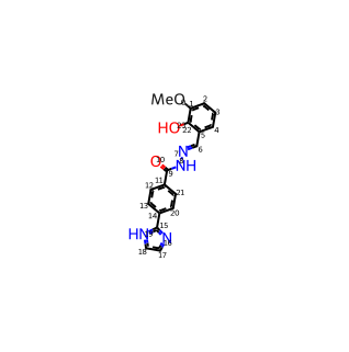 COc1cccc(C=NNC(=O)c2ccc(-c3ncc[nH]3)cc2)c1O